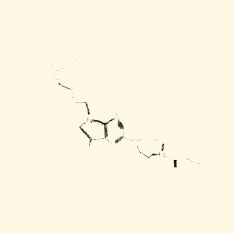 CC(C)(C)OC(=O)N1CCN(c2cnc3c(n2)c(C(=O)O)cn3COCC[Si](C)(C)C)CC1